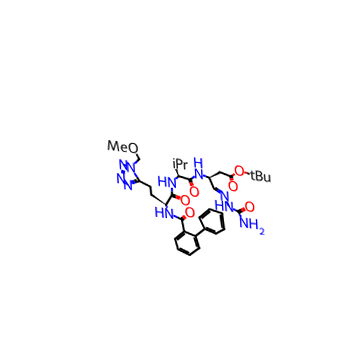 COCn1nnnc1CC[C@H](NC(=O)c1ccccc1-c1ccccc1)C(=O)N[C@H](C(=O)N[C@H](/C=N/NC(N)=O)CC(=O)OC(C)(C)C)C(C)C